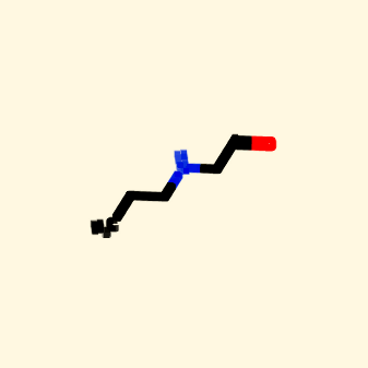 CCCNC[C]=O